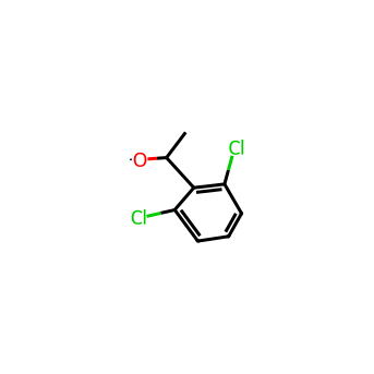 CC([O])c1c(Cl)cccc1Cl